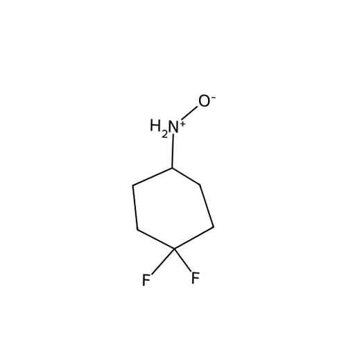 [O-][NH2+]C1CCC(F)(F)CC1